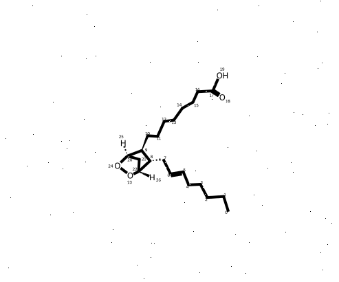 CCCCCC=CC[C@H]1[C@H](CCCCCCCC(=O)O)[C@H]2C[C@H]1OO2